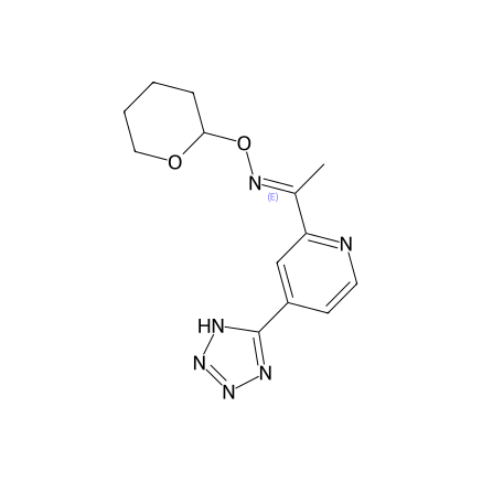 C/C(=N\OC1CCCCO1)c1cc(-c2nnn[nH]2)ccn1